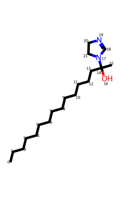 CCCCCCCCCCCCCCC(C)(O)N1C=NCC1